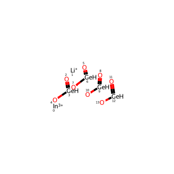 [In+3].[Li+].[O]=[GeH][O-].[O]=[GeH][O-].[O]=[GeH][O-].[O]=[GeH][O-]